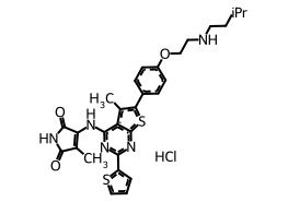 CC1=C(Nc2nc(-c3cccs3)nc3sc(-c4ccc(OCCNCCC(C)C)cc4)c(C)c23)C(=O)NC1=O.Cl